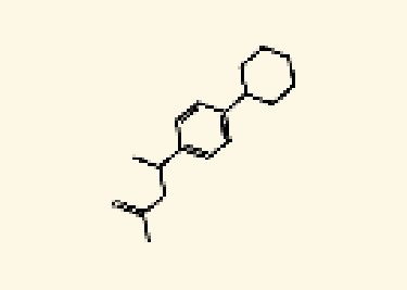 CC(=O)CC(C)c1ccc(C2CCCCC2)cc1